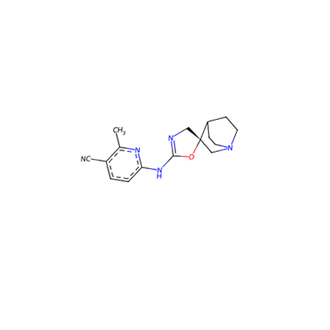 Cc1nc(NC2=NC[C@@]3(CN4CCC3CC4)O2)ccc1C#N